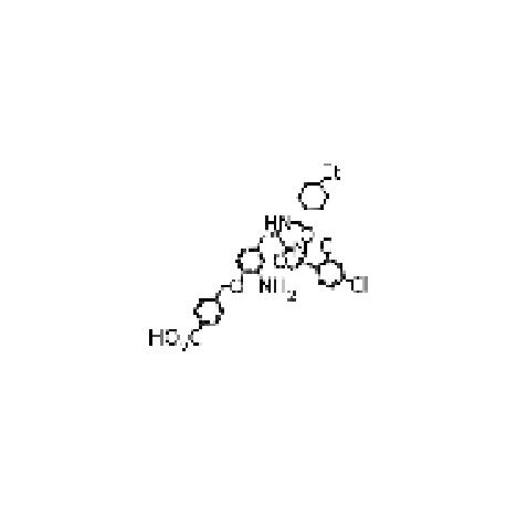 CC[C@H]1CC[C@H](C(=O)N[C@@H](Cc2ccc(OCc3ccc(C(=O)O)cc3)c(N)c2)c2nc(-c3ccc(Cl)cc3Cl)co2)CC1